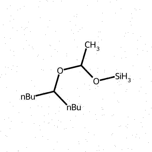 CCCCC(CCCC)OC(C)O[SiH3]